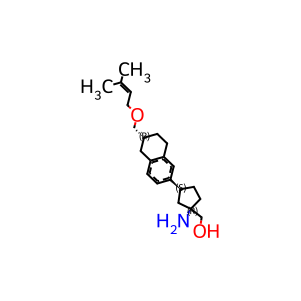 CC(C)=CCOC[C@@H]1CCc2cc([C@H]3CC[C@](N)(CO)C3)ccc2C1